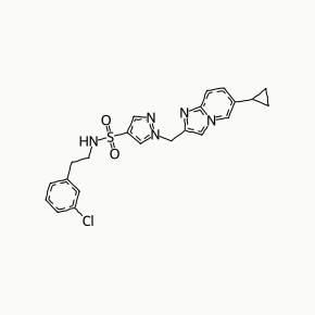 O=S(=O)(NCCc1cccc(Cl)c1)c1cnn(Cc2cn3cc(C4CC4)ccc3n2)c1